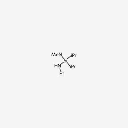 CCN[Si](NC)(C(C)C)C(C)C